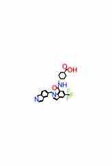 O=C(NC[C@H]1CC[C@H](C(=O)O)CC1)c1cc(C(F)(F)F)cc2ccn(Cc3ccc4cnccc4c3)c12